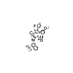 CCOc1cccc(-n2cc(C(=O)N3CCN(c4cc(C(=O)O)c5ccccc5c4)C[C@H]3CNC(C)=O)nc2-c2ccc(C)cc2F)c1